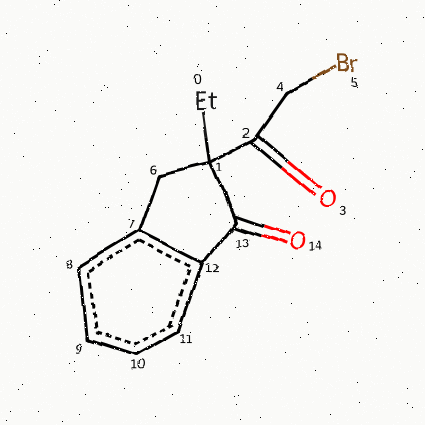 CCC1(C(=O)CBr)Cc2ccccc2C1=O